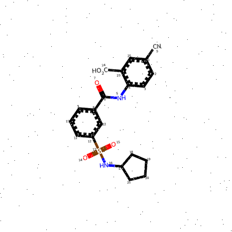 N#Cc1ccc(NC(=O)c2cccc(S(=O)(=O)NC3CCCC3)c2)c(C(=O)O)c1